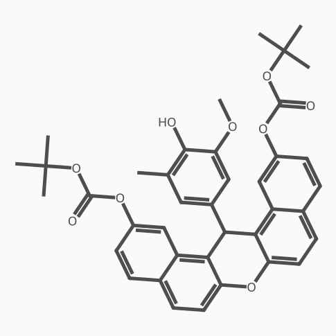 COc1cc(C2c3c(ccc4ccc(OC(=O)OC(C)(C)C)cc34)Oc3ccc4ccc(OC(=O)OC(C)(C)C)cc4c32)cc(C)c1O